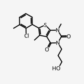 Cc1cccc(-c2sc3c(c2C)c(=O)n(CCCO)c(=O)n3C)c1Cl